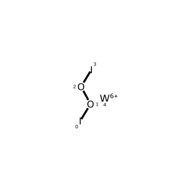 IOOI.[W+6]